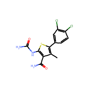 Cc1c(-c2ccc(Cl)c(Cl)c2)sc(NC(N)=O)c1C(N)=O